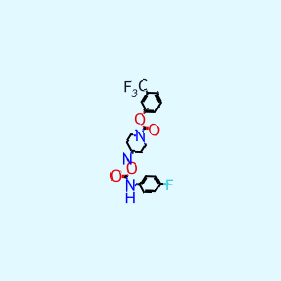 O=C(Nc1ccc(F)cc1)ON=C1CCN(C(=O)Oc2cccc(C(F)(F)F)c2)CC1